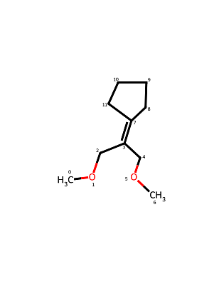 COCC(COC)=C1CCCC1